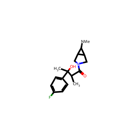 CNC1C2CN(C(=O)C(C)C(C)(O)c3ccc(F)cc3)CC21